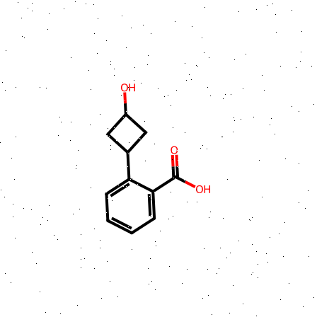 O=C(O)c1ccccc1C1CC(O)C1